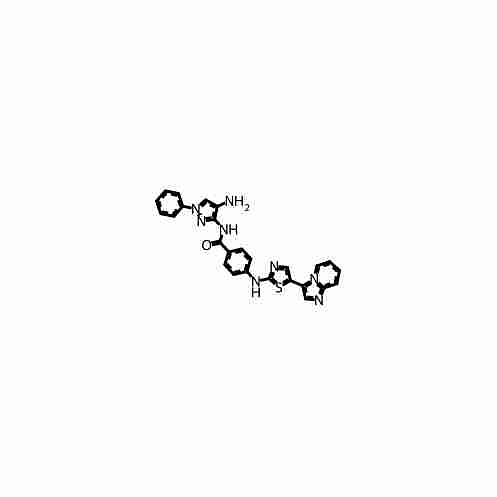 Nc1cn(-c2ccccc2)nc1NC(=O)c1ccc(Nc2ncc(-c3cnc4ccccn34)s2)cc1